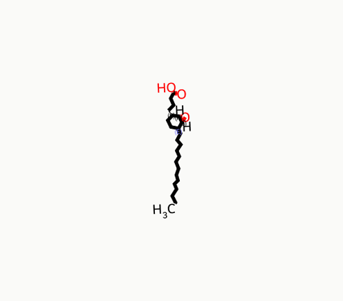 CCCCCCCCCCCCC/C=C1\CC[C@H](CCCC(=O)O)[C@H]2O[C@@H]12